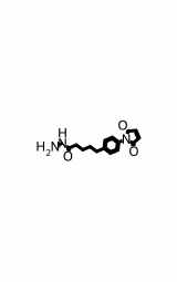 NNC(=O)CCCCc1ccc(N2C(=O)C=CC2=O)cc1